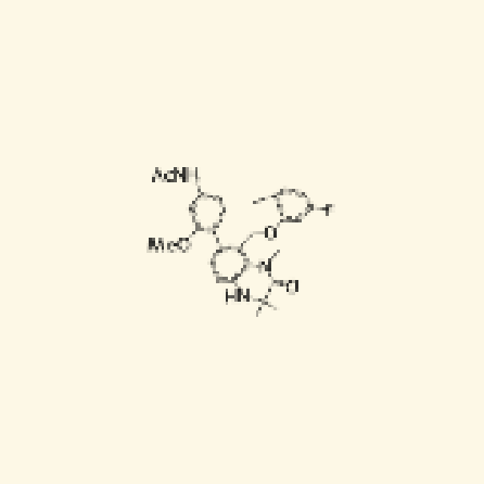 COc1cc(NC(C)=O)ccc1-c1ccc2c(c1COc1cc(F)ccc1C)N(C)C(=O)C(C)(C)N2